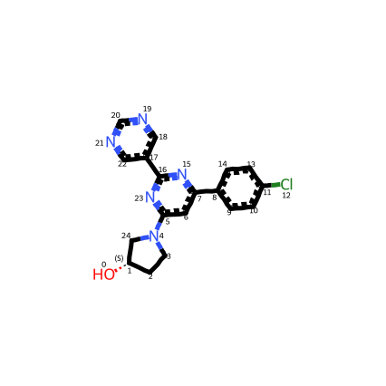 O[C@H]1CCN(c2cc(-c3ccc(Cl)cc3)nc(-c3cncnc3)n2)C1